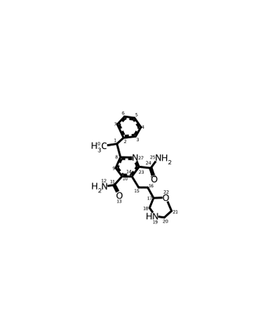 CC(c1ccccc1)c1cc(C(N)=O)c(CCC2CNCCO2)c(C(N)=O)n1